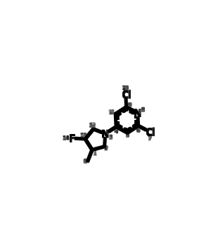 CC1CN(c2cc(Cl)nc(Cl)c2)CC1F